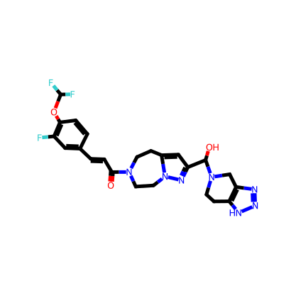 O=C(/C=C/c1ccc(OC(F)F)c(F)c1)N1CCc2cc(C(O)N3CCc4[nH]nnc4C3)nn2CC1